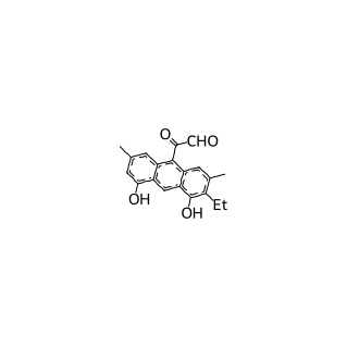 CCc1c(C)cc2c(C(=O)C=O)c3cc(C)cc(O)c3cc2c1O